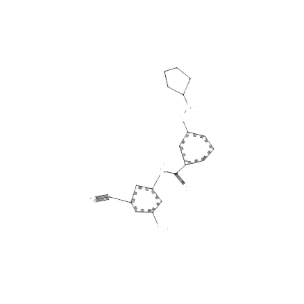 Cc1cc(C#N)cc(NC(=O)c2cccc(SNC3CCCC3)c2)c1